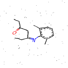 CCC(=O)CC(CC)=Nc1c(C)cccc1C